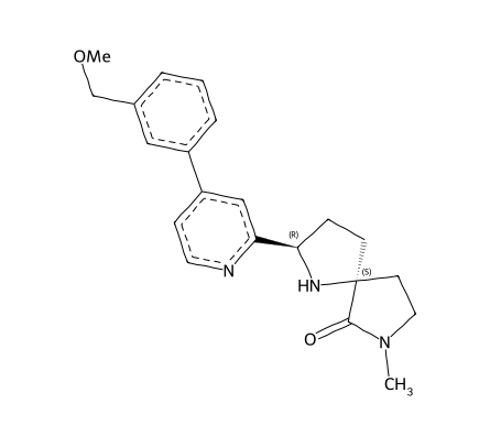 COCc1cccc(-c2ccnc([C@H]3CC[C@@]4(CCN(C)C4=O)N3)c2)c1